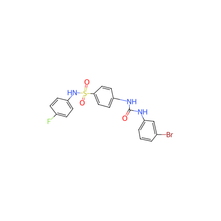 O=C(Nc1ccc(S(=O)(=O)Nc2ccc(F)cc2)cc1)Nc1cccc(Br)c1